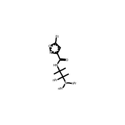 CCCN(CCC)C(C)(CCC)C(C)(C)NC(=O)c1cc(CC)on1